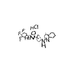 Cc1cc(NC2CCC(NC(=O)c3cc(F)c(F)c(F)c3)CC2)nc2ccccc12.Cl